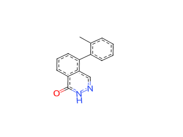 Cc1ccccc1-c1cccc2c(=O)[nH]ncc12